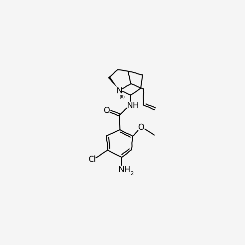 C=CCC1C2CCC(NC(=O)c3cc(Cl)c(N)cc3OC)[N@@]1CC2